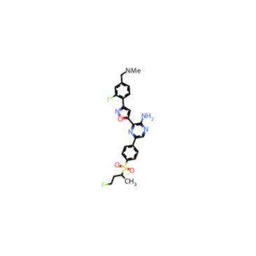 CNCc1ccc(-c2cc(-c3nc(-c4ccc(S(=O)(=O)C(C)CCF)cc4)cnc3N)on2)c(F)c1